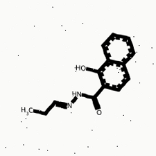 CCC=NNC(=O)c1ccc2ccccc2c1O